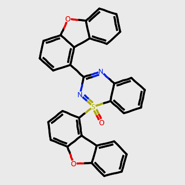 O=S1(c2cccc3oc4ccccc4c23)=NC(c2cccc3oc4ccccc4c23)=Nc2ccccc21